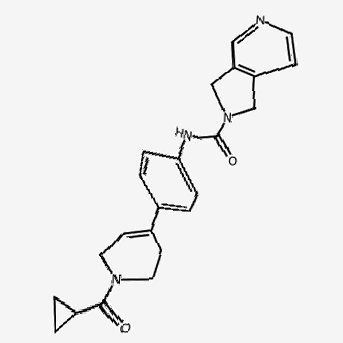 O=C(Nc1ccc(C2=CCN(C(=O)C3CC3)CC2)cc1)N1Cc2ccncc2C1